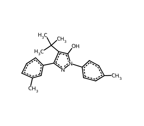 Cc1ccc(-n2nc(-c3cccc(C)c3)c(C(C)(C)C)c2O)cc1